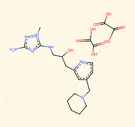 Cn1nc(N)nc1NCC(O)Cc1cc(CN2CCCCC2)ccn1.O=C(O)C(=O)O.O=C(O)C(=O)O